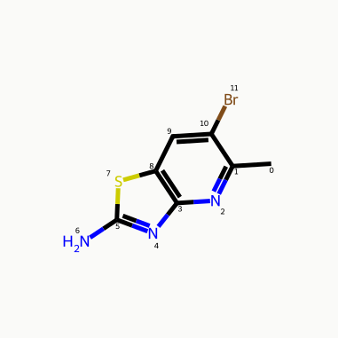 Cc1nc2nc(N)sc2cc1Br